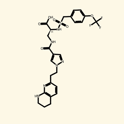 O=C(NC[C@H](NS(=O)(=O)Cc1ccc(OC(F)(F)F)cc1)C(=O)O)c1cnn(CCc2ccc3c(n2)NCCC3)c1